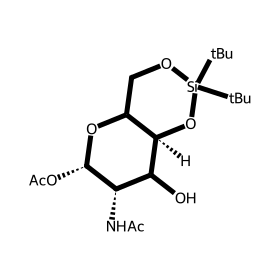 CC(=O)N[C@H]1C(O)[C@@H]2O[Si](C(C)(C)C)(C(C)(C)C)OCC2O[C@H]1OC(C)=O